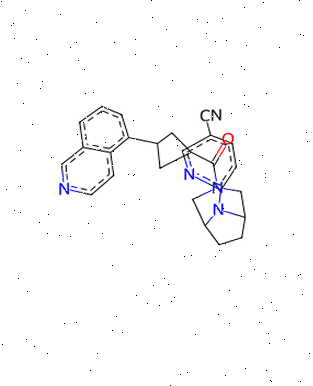 N#Cc1ccc(N2C3CCC2CN(C(=O)C2CC(c4cccc5cnccc45)C2)C3)nc1